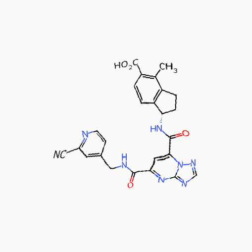 Cc1c(C(=O)O)ccc2c1CC[C@@H]2NC(=O)c1cc(C(=O)NCc2ccnc(C#N)c2)nc2ncnn12